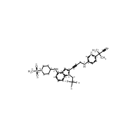 CC(C)(C#N)c1ccc(NCC#Cc2cc3c(NC4CCN(S(C)(=O)=O)CC4)cccc3n2CC(F)(F)F)cn1